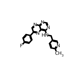 Cc1ccc(CNc2ncnc3ncc(-c4ccc(F)cc4)nc23)cn1